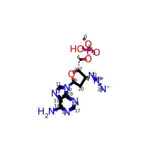 COP(=O)(O)OC[C@H]1OC(n2cnc3c(N)ncnc32)C[C@H]1N=[N+]=[N-]